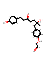 CC(O)(CCC(=O)CCC1=CCC(=O)C=C1)Cc1ccc(OCC=O)cc1